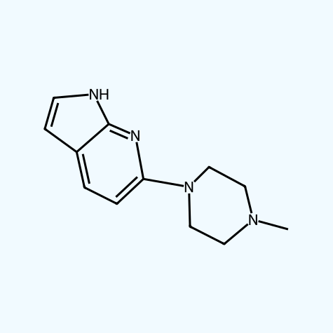 CN1CCN(c2ccc3cc[nH]c3n2)CC1